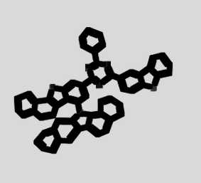 c1ccc(-c2nc(-c3cc(-n4c5cc6ccccc6cc5c5ccc6ccccc6c54)c4c(c3)sc3c5ccccc5ccc34)nc(-c3ccc4sc5ccccc5c4c3)n2)cc1